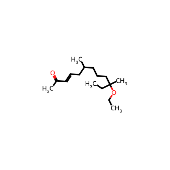 CCOC(C)(CC)CCCC(C)CC=CC(C)=O